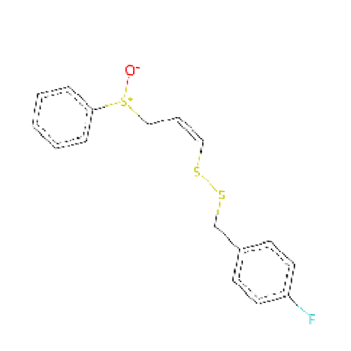 [O-][S+](C/C=C\SSCc1ccc(F)cc1)c1ccccc1